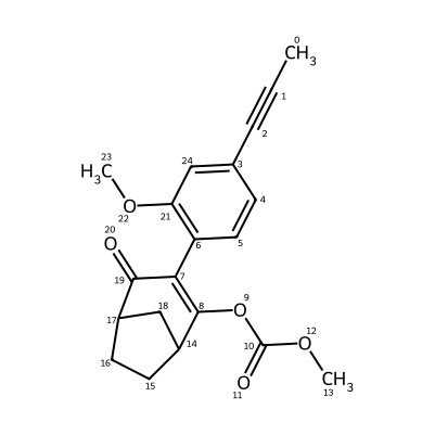 CC#Cc1ccc(C2=C(OC(=O)OC)C3CCC(C3)C2=O)c(OC)c1